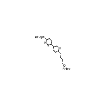 CCCCCCCc1ccc(-c2ccc(CCCCOCCCCCC)nc2)nn1